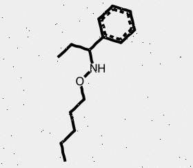 CCCCCONC(CC)c1ccccc1